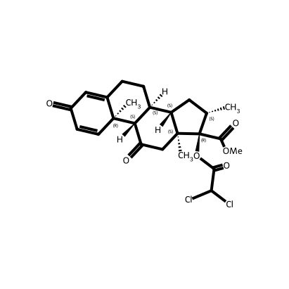 COC(=O)[C@@]1(OC(=O)C(Cl)Cl)[C@@H](C)C[C@H]2[C@@H]3CCC4=CC(=O)C=C[C@]4(C)[C@H]3C(=O)C[C@@]21C